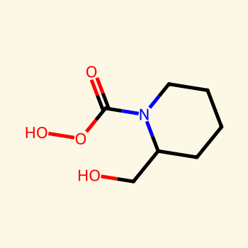 O=C(OO)N1CCCCC1CO